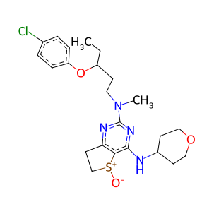 CCC(CCN(C)c1nc2c(c(NC3CCOCC3)n1)[S+]([O-])CC2)Oc1ccc(Cl)cc1